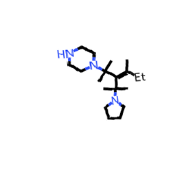 CCC(C)=C(C(C)(C)N1CCCC1)C(C)(C)N1CCNCC1